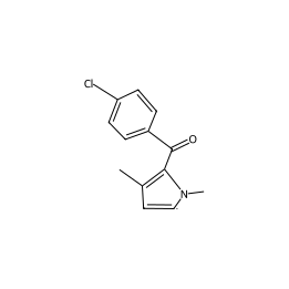 Cc1c[c]n(C)c1C(=O)c1ccc(Cl)cc1